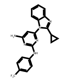 Nc1cc(-n2c(C3CC3)nc3ccccc32)nc(Nc2ccc(C(F)(F)F)cc2)n1